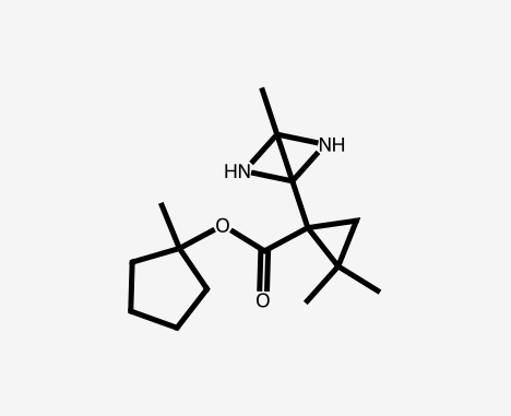 CC1(OC(=O)C2(C34NC3(C)N4)CC2(C)C)CCCC1